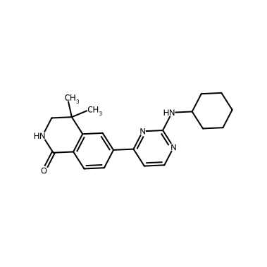 CC1(C)CNC(=O)c2ccc(-c3ccnc(NC4CCCCC4)n3)cc21